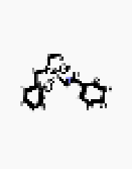 CCN(Cc1ccccc1)S(=O)(=O)/C=C/c1ccccc1